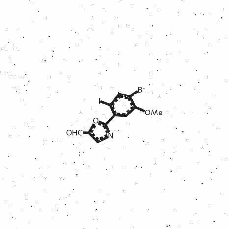 COc1cc(-c2ncc(C=O)o2)c(I)cc1Br